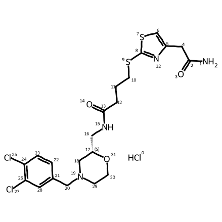 Cl.NC(=O)Cc1csc(SCCCC(=O)NC[C@H]2CN(Cc3ccc(Cl)c(Cl)c3)CCO2)n1